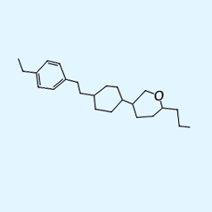 CCCC1CCC(C2CCC(CCc3ccc(CC)cc3)CC2)CO1